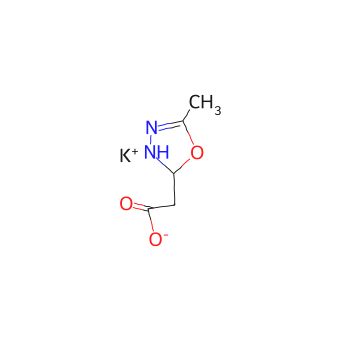 CC1=NNC(CC(=O)[O-])O1.[K+]